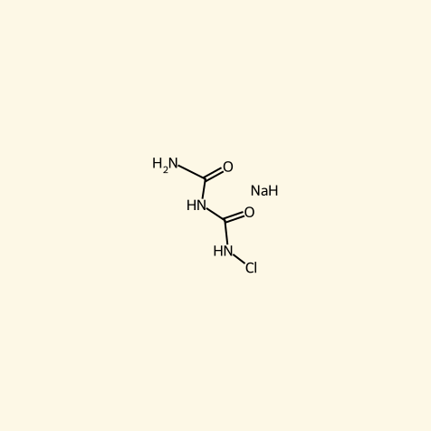 NC(=O)NC(=O)NCl.[NaH]